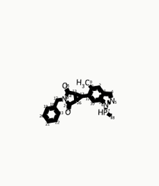 Cc1cc2cnn(PI)c2cc1C1C2C(=O)N(Cc3ccccc3)C(=O)C21